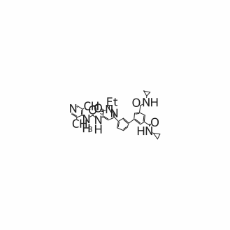 CCn1nc(-c2cccc(-c3cc(C(=O)NC4CC4)cc(C(=O)NC4CC4)c3)c2)cc(NC(=O)Nc2c(C)cncc2C)c1=O